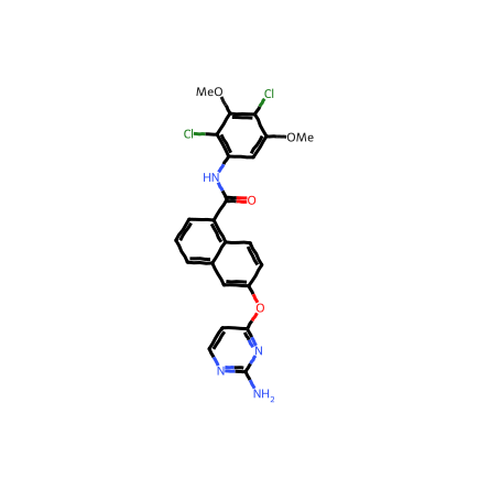 COc1cc(NC(=O)c2cccc3cc(Oc4ccnc(N)n4)ccc23)c(Cl)c(OC)c1Cl